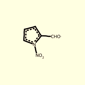 O=[C]c1cccn1[N+](=O)[O-]